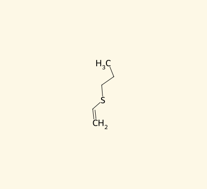 C=CSCCC